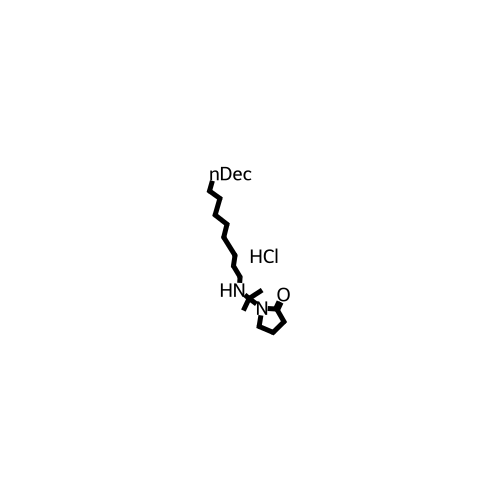 CCCCCCCCCCCCCCCCCCNC(C)(C)N1CCCC1=O.Cl